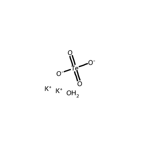 O.O=[Te](=O)([O-])[O-].[K+].[K+]